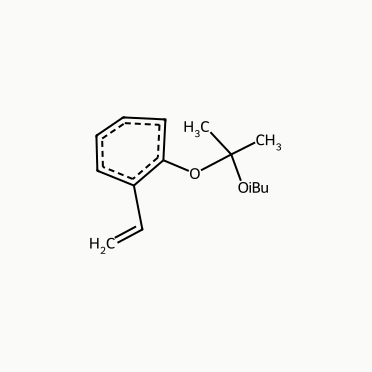 C=Cc1ccccc1OC(C)(C)OCC(C)C